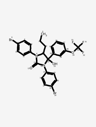 CCCC1N(c2ccc(Br)cc2)C(=O)N(c2ccc(Br)cc2)C1(O)c1cccc(OC(F)(F)F)c1